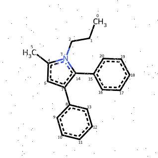 CCCn1c(C)cc(-c2ccccc2)c1-c1ccccc1